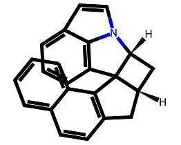 c1cc2c3c4c(ccc3c1)C[C@H]1C[C@H]3n5ccc6ccc-2c(c65)C413